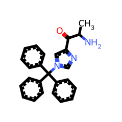 CC(N)C(=O)c1cn(C(c2ccccc2)(c2ccccc2)c2ccccc2)cn1